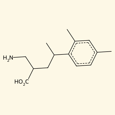 Cc1ccc(C(C)CC(CN)C(=O)O)c(C)c1